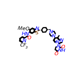 COc1cc2nc([C@H]3CC[C@H](CN4CCN(c5ccn6c(N7CCC(=O)NC7=O)cnc6c5C)CC4)CC3)sc2cc1NC(=O)c1cccc(C(F)(F)F)n1